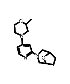 CC1CN(c2ccnc(N3CC4CCC(C3)O4)c2)CCO1